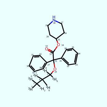 [2H]C([2H])([2H])C([2H])([2H])C([2H])([2H])OC(C(=O)OC1CCNCC1)(c1ccccc1)c1ccccc1